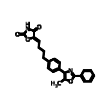 Cc1oc(-c2ccccc2)nc1-c1ccc(CCCC=C2OC(=O)NC2=O)cc1